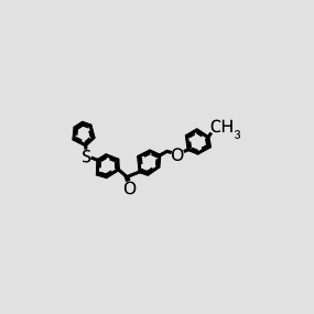 Cc1ccc(OCc2ccc(C(=O)c3ccc(Sc4ccccc4)cc3)cc2)cc1